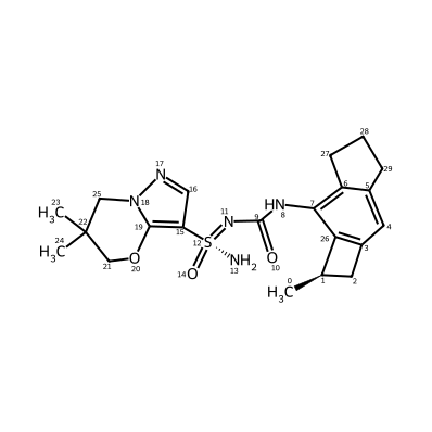 C[C@@H]1Cc2cc3c(c(NC(=O)N=[S@@](N)(=O)c4cnn5c4OCC(C)(C)C5)c21)CCC3